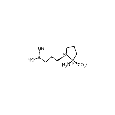 N[C@@]1(C(=O)O)CCC[C@@H]1CCCB(O)O